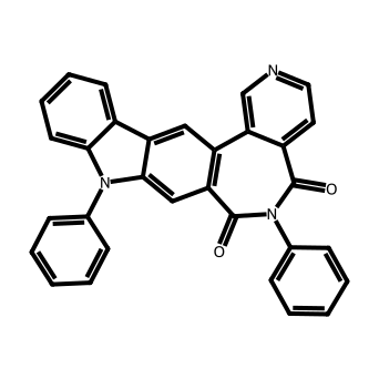 O=c1c2ccncc2c2cc3c4ccccc4n(-c4ccccc4)c3cc2c(=O)n1-c1ccccc1